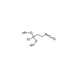 CCC[O][Zr]([CH2]C)([CH2]CN=C=O)[O]CCC